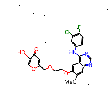 COc1cc2ncnc(Nc3ccc(F)c(Cl)c3)c2cc1OCCOCc1cc(=O)c(O)co1